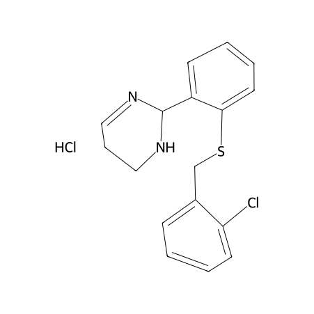 Cl.Clc1ccccc1CSc1ccccc1C1N=CCCN1